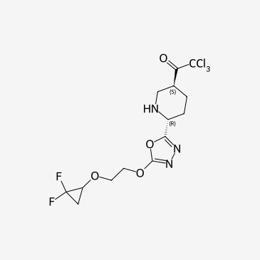 O=C([C@H]1CC[C@H](c2nnc(OCCOC3CC3(F)F)o2)NC1)C(Cl)(Cl)Cl